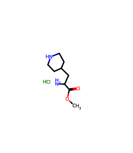 COC(=O)C(N)CC1CCNCC1.Cl